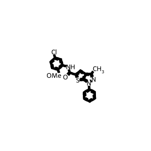 COc1ccc(Cl)cc1NC(=O)c1cc2c(C)nn(-c3ccccc3)c2s1